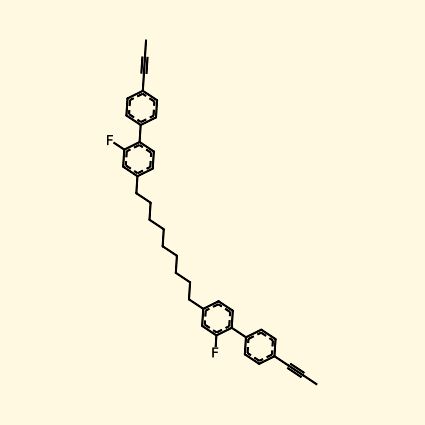 CC#Cc1ccc(-c2ccc(CCCCCCCCCc3ccc(-c4ccc(C#CC)cc4)c(F)c3)cc2F)cc1